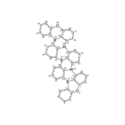 c1ccc2c(c1)Oc1cccc3c1B2c1cccc2c1N3c1cccc3c1B2c1cccc2c1N3c1cccc3c1B2c1ccccc1O3